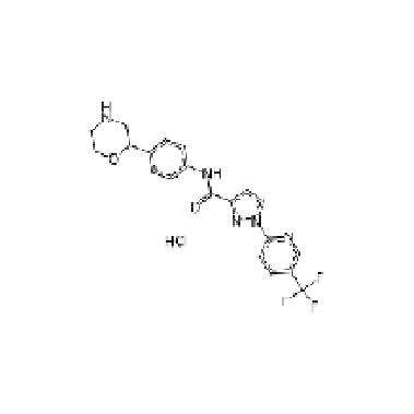 Cl.O=C(Nc1ccc(C2CNCCO2)cc1)c1ccn(-c2ccc(C(F)(F)F)cn2)n1